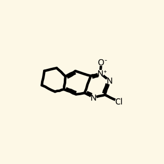 [O-][n+]1nc(Cl)nc2cc3c(cc21)CCCC3